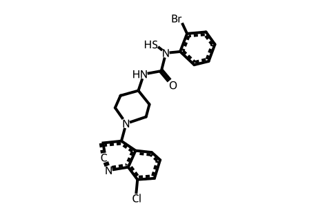 O=C(NC1CCN(c2ccnc3c(Cl)cccc23)CC1)N(S)c1ccccc1Br